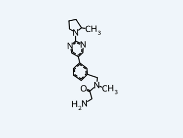 CC1CCCN1c1ncc(-c2cccc(CN(C)C(=O)CN)c2)cn1